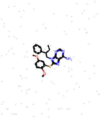 CCC(Cn1c(Sc2cc(OC)ccc2OC)nc2c(N)ncnc21)c1ccccc1